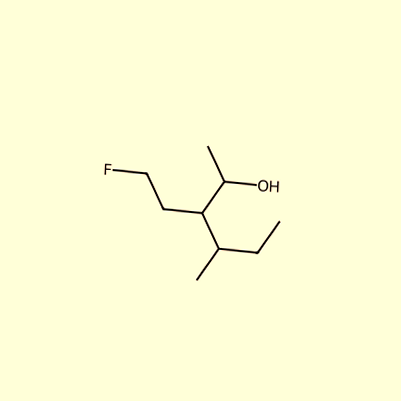 CCC(C)C(CCF)C(C)O